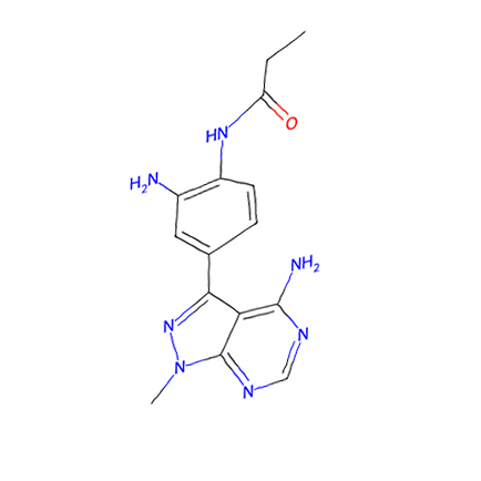 CCC(=O)Nc1ccc(-c2nn(C)c3ncnc(N)c23)cc1N